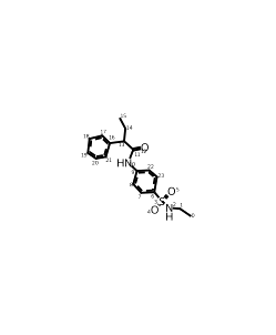 CCNS(=O)(=O)c1ccc(NC(=O)C(CC)c2ccccc2)cc1